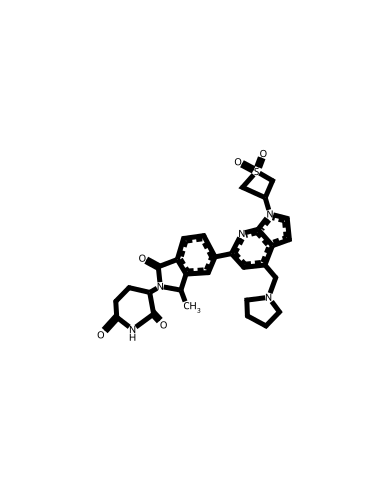 CC1c2cc(-c3cc(CN4CCCC4)c4ccn(C5CS(=O)(=O)C5)c4n3)ccc2C(=O)N1C1CCC(=O)NC1=O